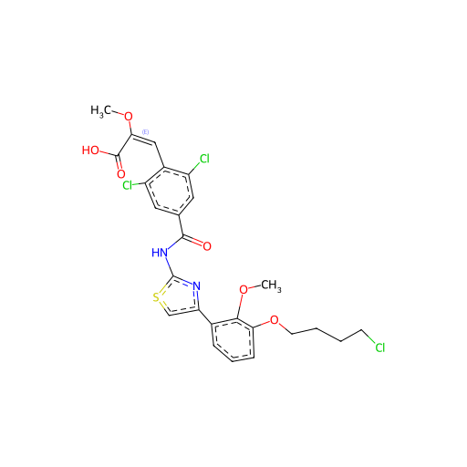 CO/C(=C/c1c(Cl)cc(C(=O)Nc2nc(-c3cccc(OCCCCCl)c3OC)cs2)cc1Cl)C(=O)O